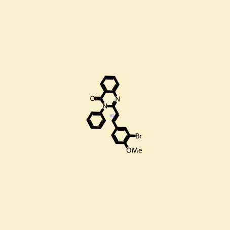 COc1ccc(/C=C/c2nc3ccccc3c(=O)n2-c2ccccc2)cc1Br